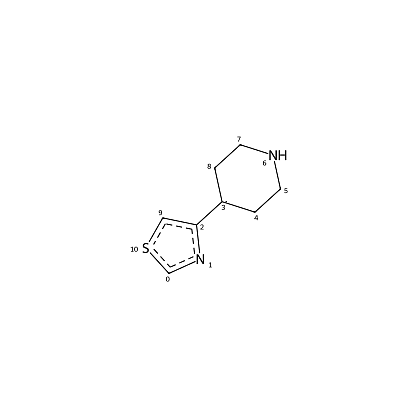 c1nc([C]2CCNCC2)cs1